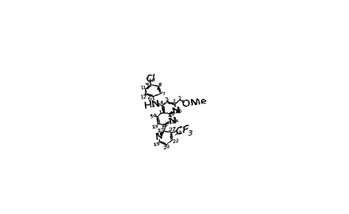 COCc1cc(Nc2ccc(Cl)cc2)c2ccc(-c3ncccc3C(F)(F)F)nc2n1